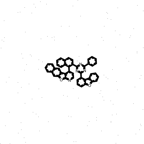 c1ccc(-c2nc(-c3ccc4ccccc4c3-c3ccnc4oc5cc6ccccc6cc5c34)nc(-c3cccc4oc5ccccc5c34)n2)cc1